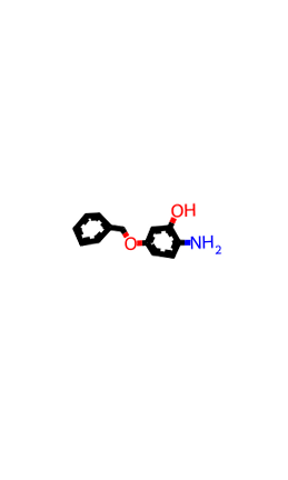 Nc1ccc(OCc2ccccc2)cc1O